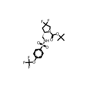 CC(C)(C)OC(=O)N1CC(F)(F)C[C@H]1CNS(=O)(=O)c1ccc(OC(F)(F)F)cc1